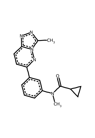 Cc1nnc2ccc(-c3cccc(N(C)C(=O)C4CC4)c3)nn12